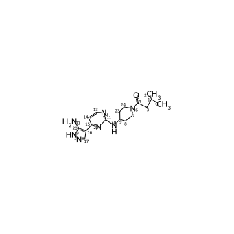 CC(C)CC(=O)N1CCC(Nc2nccc(-c3cn[nH]c3N)n2)CC1